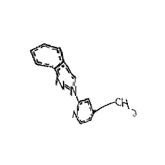 Cc1ccnc(-n2cc3ccccc3n2)c1